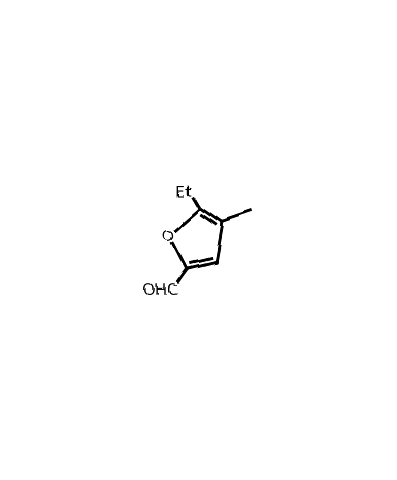 CCc1oc(C=O)cc1C